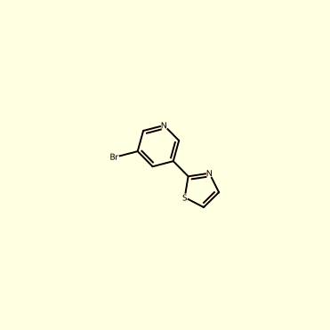 Brc1cncc(-c2nccs2)c1